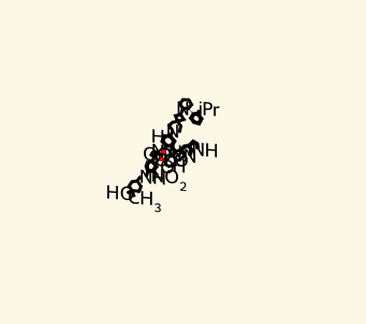 CC(C)c1ccccc1[C@H]1CCCCN1C1CC2(CCN(c3ccc(C(=O)NS(=O)(=O)c4ccc(NCC5CCC(C)(O)CC5)c([N+](=O)[O-])c4)c(N4c5cc6cc[nH]c6nc5O[C@H]5COCC[C@@H]54)c3)CC2)C1